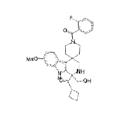 COc1ccc2c3c([nH]c2c1)C(CO)(C(=O)C1CCC1)NCC31CCN(C(=O)c2ccccc2F)CC1